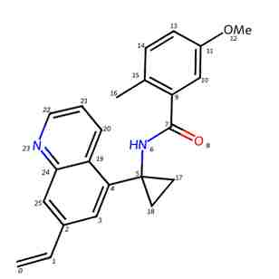 C=Cc1cc(C2(NC(=O)c3cc(OC)ccc3C)CC2)c2cccnc2c1